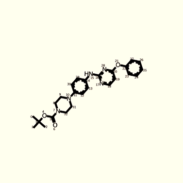 CC(C)(C)OC(=O)N1CCN(c2ccc(Nc3nccc(Oc4ccccc4)n3)cc2)CC1